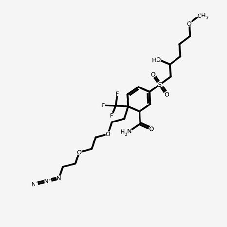 COCCCC(O)CS(=O)(=O)C1=CC(C(N)=O)C(CCOCCOCCN=[N+]=[N-])(C(F)(F)F)C=C1